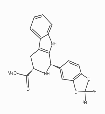 [2H]C1([2H])Oc2ccc([C@H]3N[C@@H](C(=O)OC)Cc4c3[nH]c3ccccc43)cc2O1